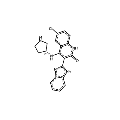 O=c1[nH]c2ccc(Cl)cc2c(N[C@@H]2CCNC2)c1-c1nc2ccccc2[nH]1